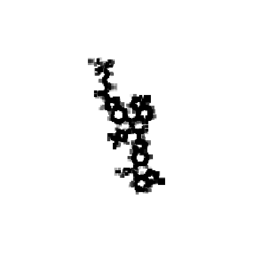 CN(c1ncnc2[nH]ccc12)C1CCn2cc(C(=O)N(C3CC(F)(F)C3)N(c3ncnc4[nH]ccc34)C3CCn4cc(C(=O)NCCS(C)(=O)=O)nc4C3)nc2C1